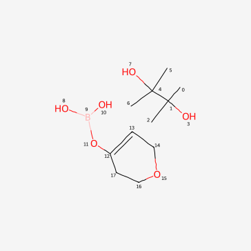 CC(C)(O)C(C)(C)O.OB(O)OC1=CCOCC1